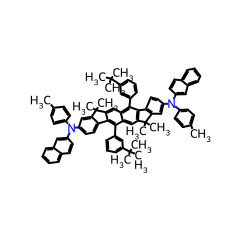 Cc1ccc(N(c2ccc3c(c2)C(C)(C)c2cc4c(-c5cccc(C(C)(C)C)c5)c5c(cc4c(-c4cccc(C(C)(C)C)c4)c2-3)C(C)(C)c2cc(N(c3ccc(C)cc3)c3ccc4ccccc4c3)ccc2-5)c2ccc3ccccc3c2)cc1